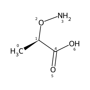 C[C@@H](ON)C(=O)O